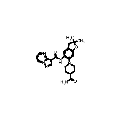 CC1(C)Cc2cc(NC(=O)c3cnn4cccnc34)c(N3CCC(C(N)=O)CC3)cc2O1